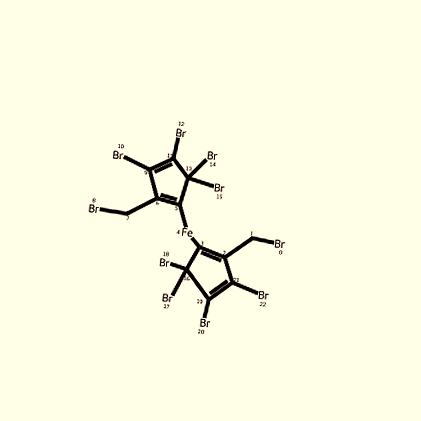 BrCC1=[C]([Fe][C]2=C(CBr)C(Br)=C(Br)C2(Br)Br)C(Br)(Br)C(Br)=C1Br